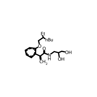 C=C(C(=O)NCC(O)CO)c1ccccc1OCC(CC)CCCC